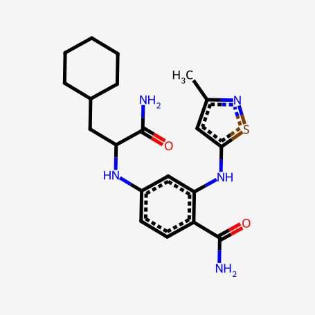 Cc1cc(Nc2cc(NC(CC3CCCCC3)C(N)=O)ccc2C(N)=O)sn1